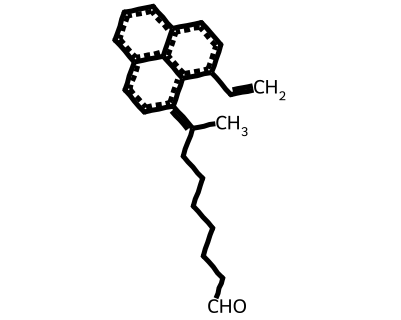 C=Cc1ccc2cccc3cc/c(=C(/C)CCCCCCC=O)c1c23